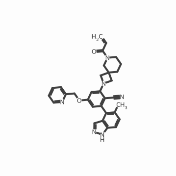 C=CC(=O)N1CCCC2(C1)CN(c1cc(OCc3ccccn3)cc(-c3c(C)ccc4[nH]ncc34)c1C#N)C2